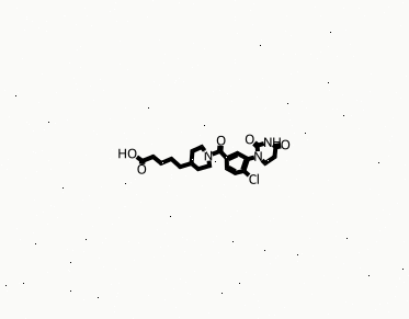 O=C(O)CCCCC1CCN(C(=O)c2ccc(Cl)c(N3CCC(=O)NC3=O)c2)CC1